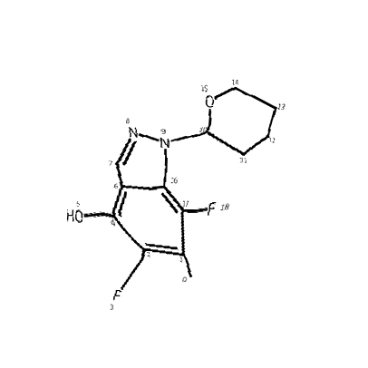 Cc1c(F)c(O)c2cnn(C3CCCCO3)c2c1F